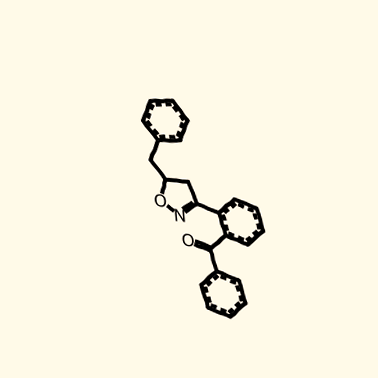 O=C(c1ccccc1)c1ccccc1C1=NOC(Cc2ccccc2)C1